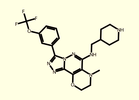 CN1CCOc2c1c(NCC1CCNCC1)nn1c(-c3cccc(OC(F)(F)F)c3)nnc21